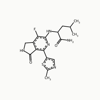 Cc1ncc(-c2nc(NC(CC(C)C)C(N)=O)c(F)c3c2C(=O)NC3)s1